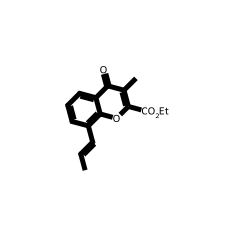 CC=Cc1cccc2c(=O)c(C)c(C(=O)OCC)oc12